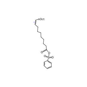 CCCCCCCC/C=C\CCCCCCCC(=O)OS(=O)(=O)c1ccccc1